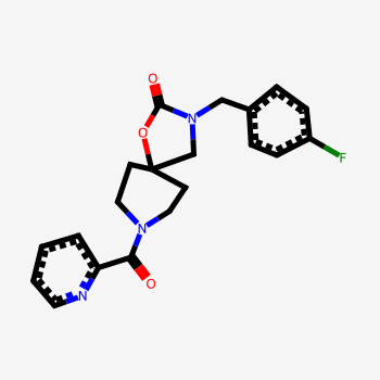 O=C1OC2(CCN(C(=O)c3ccccn3)CC2)CN1Cc1ccc(F)cc1